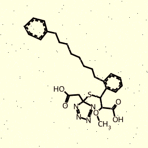 COC(C(=O)O)C(SC1(CC(=O)O)N=NN=N1)c1ccccc1CCCCCCCCc1ccccc1